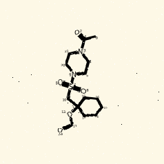 CC(=O)N1CCN(S(=O)(=O)CC2(OC=O)CCCCC2)CC1